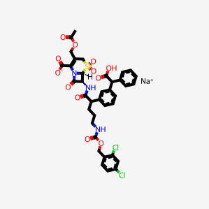 CC(=O)OCC1=C(C(=O)[O-])N2C(=O)[C@H](NC(=O)C(CCCNC(=O)OCc3ccc(Cl)cc3Cl)c3cccc(C(C(=O)O)c4ccccc4)c3)[C@@H]2S(=O)(=O)C1.[Na+]